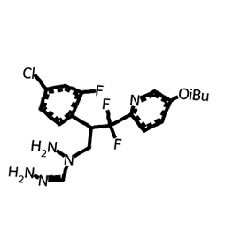 CC(C)COc1ccc(C(F)(F)C(CN(N)/C=N\N)c2ccc(Cl)cc2F)nc1